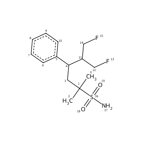 CC(C)(CC(c1ccccc1)C(CF)CF)S(N)(=O)=O